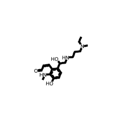 CCN(C)CCCNCC(O)c1ccc(O)c(NC)c1/C=C\C=O